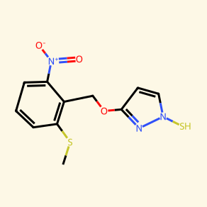 CSc1cccc([N+](=O)[O-])c1COc1ccn(S)n1